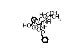 CC(NC(=O)OC(C)(C)C)C(NC(=O)OCc1ccccc1)C(=O)N1CCCCC1C(=O)O